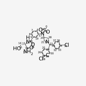 CS(=O)(=O)N(c1cccc(C(=O)N[C@@H](CO)C(N)=O)c1)C1CN(C(c2ccc(Cl)cc2)c2ccc(Cl)cc2)C1